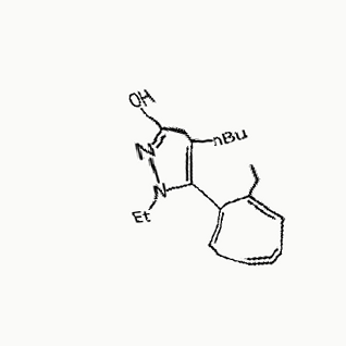 CCCCc1c(O)nn(CC)c1-c1ccccc1C